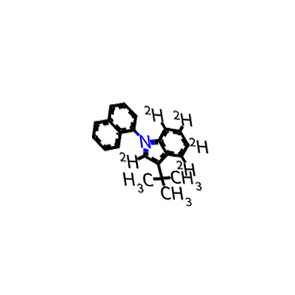 [2H]c1c([2H])c([2H])c2c(c1[2H])c(C(C)(C)C)c([2H])n2-c1cccc2ccccc12